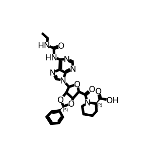 CCNC(=O)Nc1ncnc2c1ncn2C1OC(C(=O)N2CCCC[C@@H]2C(=O)O)C2O[C@H](c3ccccc3)OC21